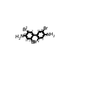 Nc1cc(Br)c(-c2cc(Br)c(N)cc2Br)cc1Br